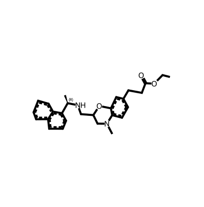 CCOC(=O)CCc1ccc2c(c1)OC(CN[C@H](C)c1cccc3ccccc13)CN2C